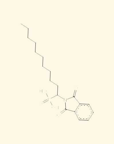 CCCCCCCCCCC(N1C(=O)c2ccccc2C1=O)P(=O)(O)O